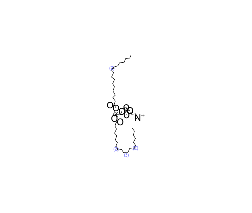 CCCCC/C=C\C/C=C\C/C=C\CCCCCCC(=O)O[C@H](COC(=O)CCCCCCCCC/C=C\CCCCCC)COP(=O)([O-])OCC[N+](C)(C)C